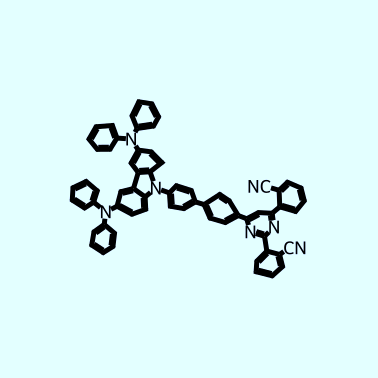 N#Cc1ccccc1-c1cc(-c2ccc(-c3ccc(-n4c5ccc(N(c6ccccc6)c6ccccc6)cc5c5cc(N(c6ccccc6)c6ccccc6)ccc54)cc3)cc2)nc(-c2ccccc2C#N)n1